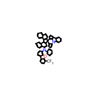 FC(F)(F)c1cccc2c1oc1c(N(c3ccccc3)c3cc4c(c5ccccc35)-c3c(ccc5ccccc35)C43c4ccccc4-n4c5ccccc5c5cccc3c54)cccc12